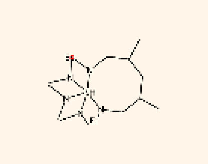 CCN1CC(C)CC(C)CN(CC)[SH]1(N(C)C)(N(C)C)N(C)C